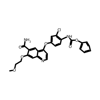 COCCOc1cc2nccc(Oc3ccc(NC(=O)Oc4ccccc4)c(Cl)c3)c2cc1C(N)=O